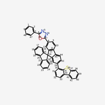 c1ccc(-c2nnc(-c3ccc4c(c3)C3(c5ccccc5-c5ccccc53)c3cc(-c5cccc6c5sc5ccccc56)ccc3-4)o2)cc1